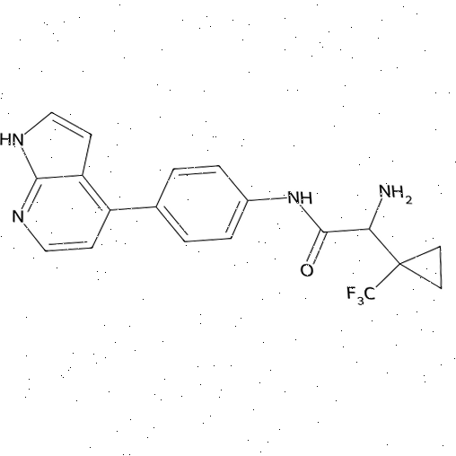 NC(C(=O)Nc1ccc(-c2ccnc3[nH]ccc23)cc1)C1(C(F)(F)F)CC1